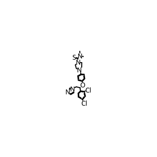 CN(C)C(=S)N1CCN(c2ccc(OC(Cn3ccnc3)c3ccc(Cl)cc3Cl)cc2)CC1